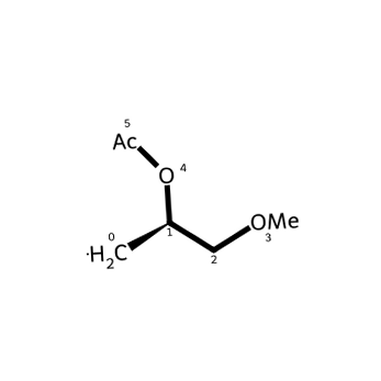 [CH2][C@H](COC)OC(C)=O